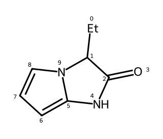 CCC1C(=O)Nc2cccn21